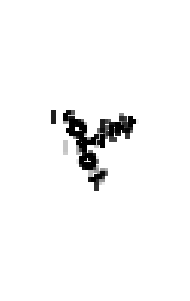 F[B-](F)(F)F.F[B-](F)(F)F.F[B-](F)(F)F.N#CC(Nc1ccccc1)c1ccc(O)cc1